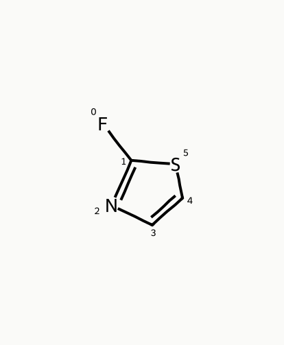 Fc1nccs1